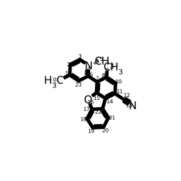 Cc1cc[n+](C)c(-c2c(C)cc(C#N)c3c2oc2ccccc23)c1